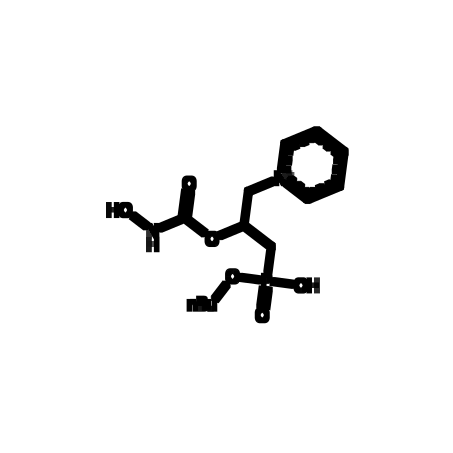 CCCCOP(=O)(O)CC(C[n+]1ccccc1)OC(=O)NO